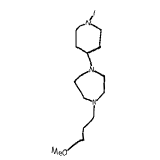 COCCCN1CCN(C2CCN(I)CC2)CC1